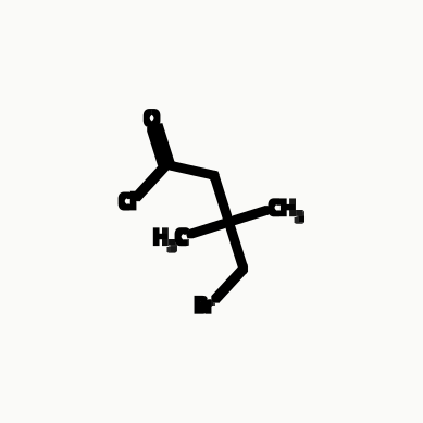 CC(C)(CBr)CC(=O)Cl